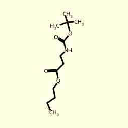 CCCCOC(=O)CCNC(=O)OC(C)(C)C